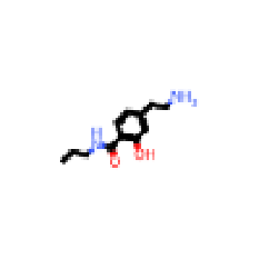 CCCNC(=O)c1ccc(CCN)cc1O